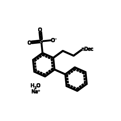 CCCCCCCCCCCCc1c(-c2ccccc2)cccc1S(=O)(=O)[O-].O.[Na+]